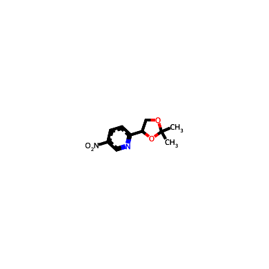 CC1(C)OCC(c2ccc([N+](=O)[O-])cn2)O1